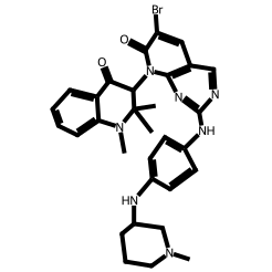 CN1CCCC(Nc2ccc(Nc3ncc4cc(Br)c(=O)n(C5C(=O)c6ccccc6N(C)C5(C)C)c4n3)cc2)C1